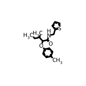 CCC(C)C(Oc1ccc(C)cc1)C(=O)NCc1cccs1